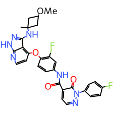 COC1CC(C)(Nc2n[nH]c3nccc(Oc4ccc(NC(=O)c5ccnn(-c6ccc(F)cc6)c5=O)cc4F)c23)C1